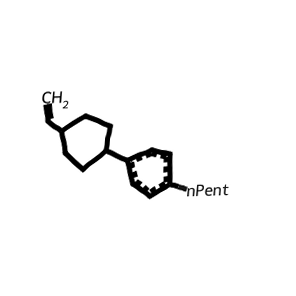 C=CC1CCC(c2ccc(CCCCC)cc2)CC1